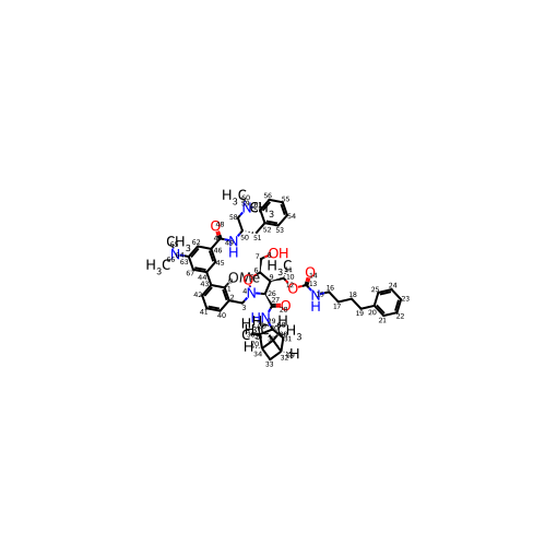 COc1c(CN2O[C@@H](CO)[C@@H]([C@H](C)OC(=O)NCCCCc3ccccc3)[C@H]2C(=O)N[C@H]2C[C@H]3C[C@@H]([C@@H]2C)C3(C)C)cccc1-c1cc(C(=O)N[C@@H](Cc2ccccc2)CN(C)C)cc(N(C)C)c1